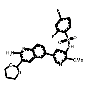 COc1ncc(-c2ccc3nc(N)c(C4OCCCO4)cc3c2)cc1NS(=O)(=O)c1ccc(F)cc1F